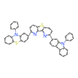 c1ccc(N2c3ccccc3Sc3ccc(-c4ccc5sc6ccc(-c7ccc8c9ccccc9n(-c9ccccc9)c8c7)nc6c5n4)cc32)cc1